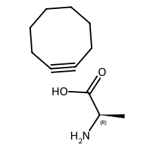 C1#CCCCCCC1.C[C@@H](N)C(=O)O